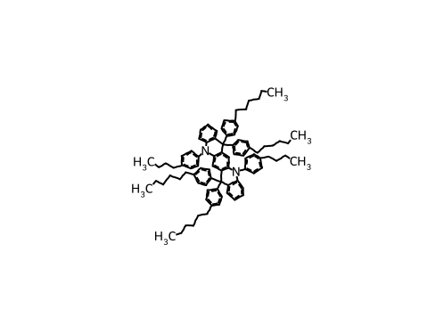 CCCCCCc1ccc(C2(c3ccc(CCCCCC)cc3)c3ccccc3N(c3ccc(CCCC)cc3)c3cc4c(cc32)N(c2ccc(CCCC)cc2)c2ccccc2C4(c2ccc(CCCCCC)cc2)c2ccc(CCCCCC)cc2)cc1